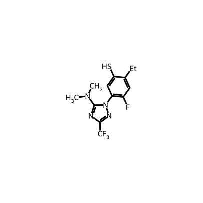 CCc1cc(F)c(-n2nc(C(F)(F)F)nc2N(C)C)cc1S